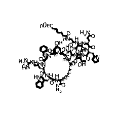 CCCCCCCCCCCCCCCC(=O)NCC(=O)N[C@H](C(=O)N[C@@H](CCC(N)=O)C(=O)N[C@@H](CC1=CCC=N1)C(=O)N[C@H](C(=O)N[C@@H](CCCC)C(=O)N[C@H]1CCC(=O)CCCCC[C@@H](C(N)=O)NC(=O)[C@H](Cc2c[nH]c3ccccc23)NC(=O)[C@H](CCCNC(=N)N)NC(=O)[C@@H](Cc2ccccc2)NC(=O)[C@@H]2C[C@@H](O)CN2C1=O)C(C)O)[C@@H](C)O